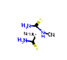 CC(=O)NC(N)=S.N#CNC(N)=S